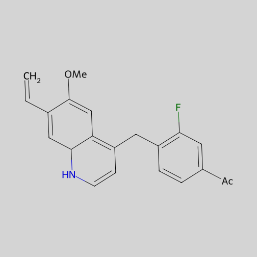 C=CC1=CC2NC=CC(Cc3ccc(C(C)=O)cc3F)=C2C=C1OC